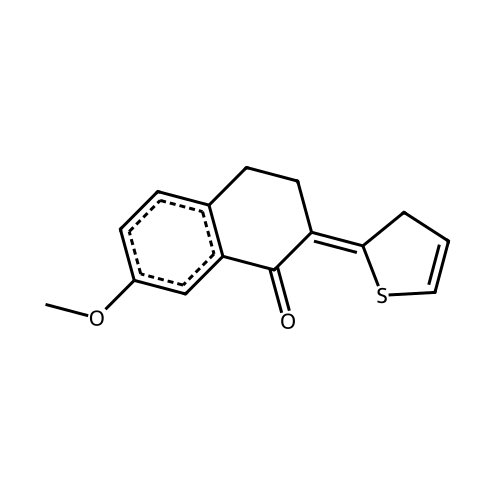 COc1ccc2c(c1)C(=O)C(=C1CC=CS1)CC2